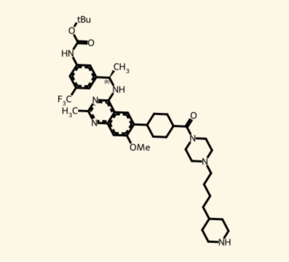 COc1cc2nc(C)nc(N[C@H](C)c3cc(NC(=O)OC(C)(C)C)cc(C(F)(F)F)c3)c2cc1C1CCC(C(=O)N2CCN(CCCCC3CCNCC3)CC2)CC1